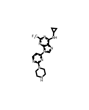 FC(F)(F)c1nc(NC2CC2)c2ncn(-c3ccnc(N4CCNCC4)n3)c2n1